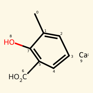 Cc1cccc(C(=O)O)c1O.[Ca]